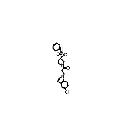 O=C(CCn1ccc2cc(Cl)ccc21)N1CCC(S(=O)(=O)NC2=CC=CCC2)C1